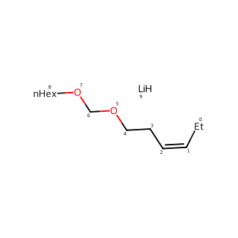 [CH2]C/C=C\CCOCOCCCCCC.[LiH]